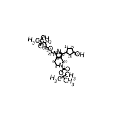 CC(C)(C)OC(=O)N1CCc2c(c(C3CCC(O)C3)nn2COCC[Si](C)(C)C)C1